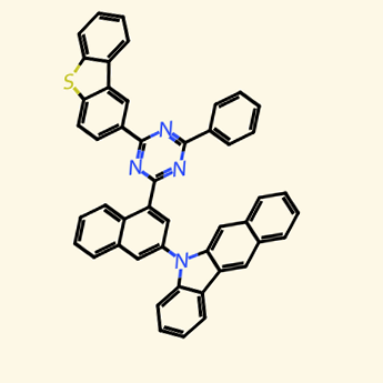 c1ccc(-c2nc(-c3ccc4sc5ccccc5c4c3)nc(-c3cc(-n4c5ccccc5c5cc6ccccc6cc54)cc4ccccc34)n2)cc1